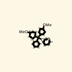 COc1ccc(C(Cl)(c2ccccc2)c2ccc(OC)cc2)cc1.c1ccncc1